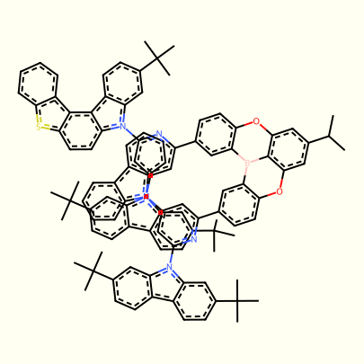 CC(C)c1cc2c3c(c1)Oc1ccc(-c4cc(-n5c6cc(C(C)(C)C)ccc6c6ccc(C(C)(C)C)cc65)cc(-n5c6cc(C(C)(C)C)ccc6c6c7c(ccc65)sc5ccccc57)n4)cc1B3c1cc(-c3cc(-n4c5ccccc5c5ccccc54)cc(-n4c5cc(C(C)(C)C)ccc5c5ccc(C(C)(C)C)cc54)n3)ccc1O2